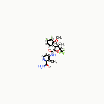 COc1c([C@H]2[C@@H](C)[C@](C)(C(F)(F)F)O[C@H]2C(=O)Nc2ccnc(C(N)=O)c2C)ccc(F)c1F